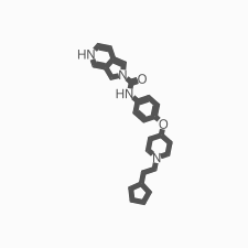 O=C(Nc1ccc(OC2CCN(CCC3CCCC3)CC2)cc1)N1C=C2C=CNC=C2C1